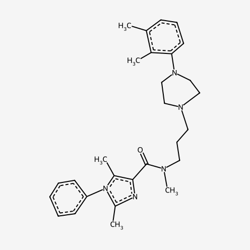 Cc1cccc(N2CCN(CCCN(C)C(=O)c3nc(C)n(-c4ccccc4)c3C)CC2)c1C